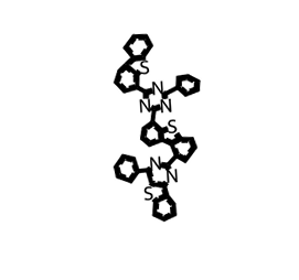 c1ccc(-c2nc(-c3cccc4c3sc3ccccc34)nc(-c3cccc4c3sc3cccc(-c5nc(-c6ccccc6)c6sc7ccccc7c6n5)c34)n2)cc1